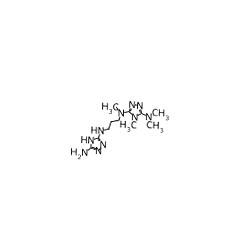 CN(C)c1nnc(N(C)CCCNc2nnc(N)[nH]2)n1C